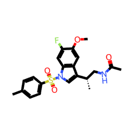 COc1cc2c([C@@H](C)CNC(C)=O)cn(S(=O)(=O)c3ccc(C)cc3)c2cc1F